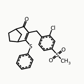 CS(=O)(=O)c1ccc(CC2=C(Sc3ccccc3)C3CCC(C3)C2=O)c(Cl)c1